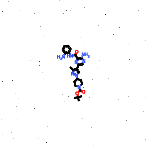 Cc1nn(C2CCN(C(=O)OC(C)(C)C)CC2)cc1-c1cnc(N)c(C(=O)Nc2ccccc2N)n1